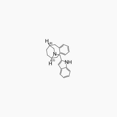 c1ccc2c(c1)C[C@H]1CC[C@@H](C2)N(Cc2cc3ccccc3[nH]2)C1